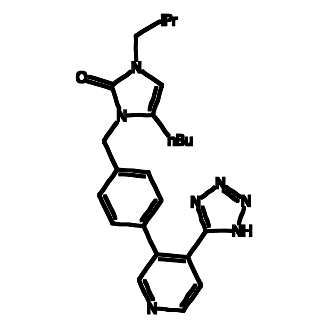 CCCCc1cn(CC(C)C)c(=O)n1Cc1ccc(-c2cnccc2-c2nnn[nH]2)cc1